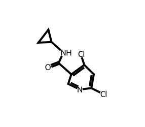 O=C(NC1CC1)c1cnc(Cl)cc1Cl